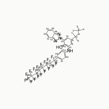 CC(C)(C)CC(C)(C)c1cc(Nc2ccc(C(F)(F)C(F)(F)C(F)(F)C(F)(F)C(F)(F)C(F)(F)C(F)(F)C(F)(F)F)cc2)c(O)c(-n2nc3ccccc3n2)c1